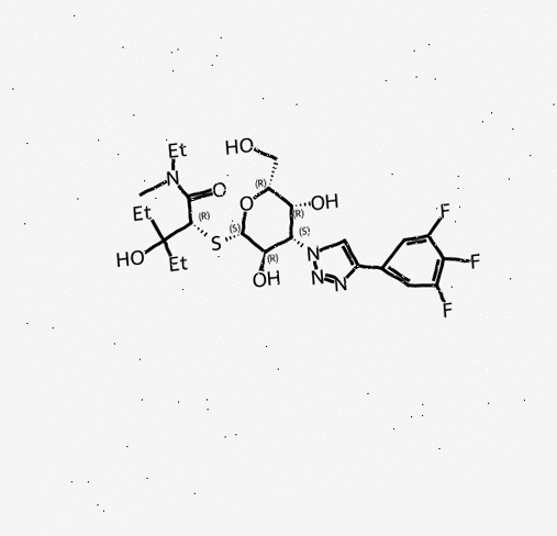 CCN(C)C(=O)[C@H](S[C@@H]1O[C@H](CO)[C@H](O)[C@H](n2cc(-c3cc(F)c(F)c(F)c3)nn2)[C@H]1O)C(O)(CC)CC